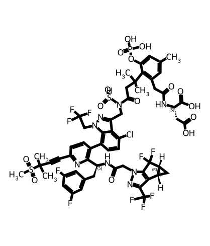 Cc1cc(CC(=O)N[C@@H](CC(=O)O)C(=O)O)c(C(C)(C)CC(=O)N(Cc2nn(CC(F)(F)F)c3c(-c4ccc(C#CC(C)(C)S(C)(=O)=O)nc4[C@H](Cc4cc(F)cc(F)c4)NC(=O)Cn4nc(C(F)(F)F)c5c4C(F)(F)[C@@H]4C[C@H]54)ccc(Cl)c23)[SH](=O)=O)c(OP(=O)(O)O)c1